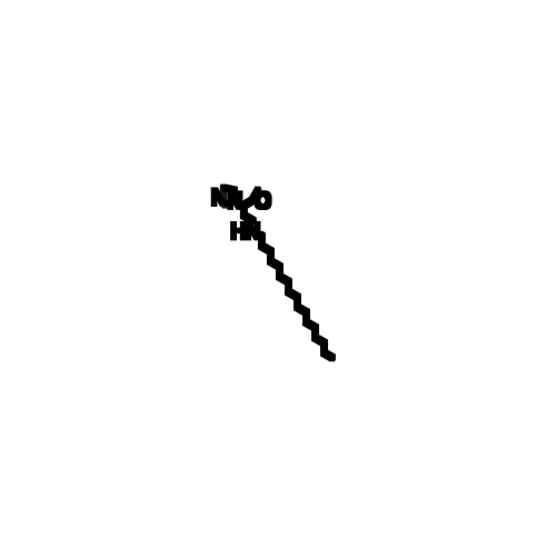 CCCCCCCCCCCCCCCCCNCCC(C1CO1)N1C=NCC1